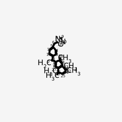 C=C(c1ccc(Cc2ncno2)cc1)c1cc2c(cc1C)C(C)(C)C=CC2(C)C